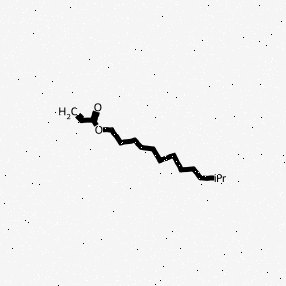 C=CC(=O)OCCCCCCCCCCC(C)C